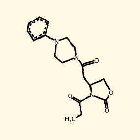 CCC(=O)N1C(=O)OCC1CC(=O)N1CCN(c2ccccc2)CC1